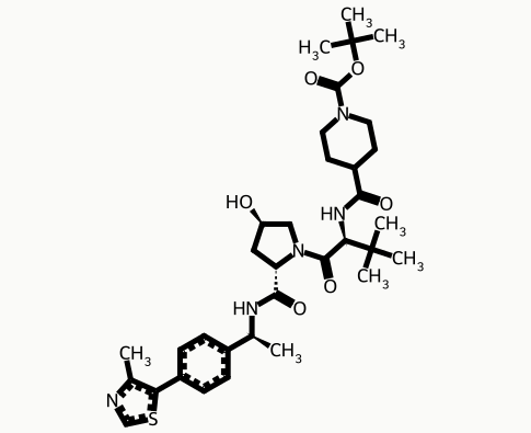 Cc1ncsc1-c1ccc([C@H](C)NC(=O)[C@@H]2C[C@@H](O)CN2C(=O)[C@@H](NC(=O)C2CCN(C(=O)OC(C)(C)C)CC2)C(C)(C)C)cc1